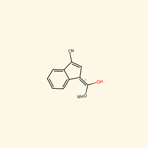 CO/C(O)=C1/C=C(C#N)c2ccccc21